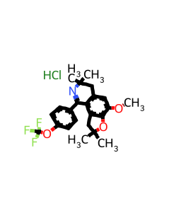 COc1cc2c(c3c1OC(C)(C)C3)C(c1ccc(OC(F)(F)F)cc1)=NC(C)(C)C2.Cl